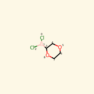 ClB(Cl)C1COCCO1